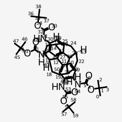 CC(C)(C)OC(=O)Nc1ccc(C2C[C@H]3CC[C@@H]2CC[C@@H]2CC[C@H](CC3)C(c3ccc(NC(=O)OC(C)(C)C)c(NC(=O)OC(C)(C)C)c3)C2)cc1NC(=O)OC(C)(C)C